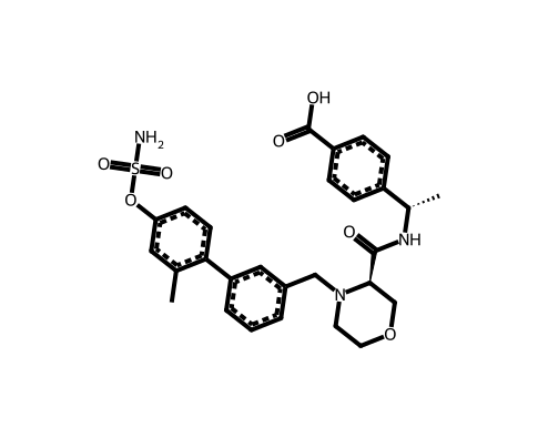 Cc1cc(OS(N)(=O)=O)ccc1-c1cccc(CN2CCOC[C@@H]2C(=O)N[C@@H](C)c2ccc(C(=O)O)cc2)c1